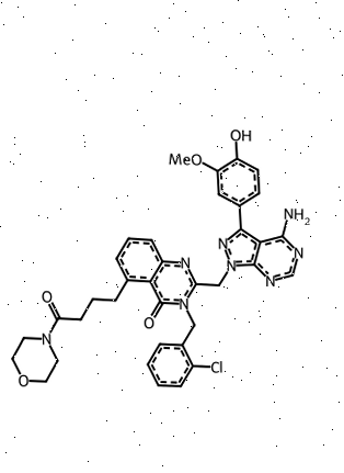 COc1cc(-c2nn(Cc3nc4cccc(CCCC(=O)N5CCOCC5)c4c(=O)n3Cc3ccccc3Cl)c3ncnc(N)c23)ccc1O